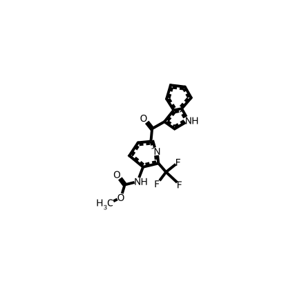 COC(=O)Nc1ccc(C(=O)c2c[nH]c3ccccc23)nc1C(F)(F)F